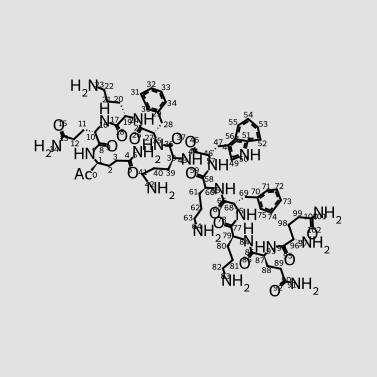 CC(=O)[C@H](CCC(N)=O)NC(=O)[C@H](CCC(N)=O)NC(=O)[C@H](CCCN)NC(=O)[C@H](Cc1ccccc1)NC(=O)[C@H](CCCN)NC(=O)[C@H](Cc1c[nH]c2ccccc12)NC(=O)[C@H](CCCN)NC(=O)[C@H](Cc1ccccc1)NC(=O)[C@H](CCCN)NC(=O)[C@H](CCC(N)=O)NC(=O)[C@@H](N)CCC(N)=O